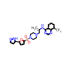 C[C@@H](CN1CCN(S(=O)(=O)c2ccc(-c3ccn[nH]3)o2)CC1)Nc1ncnc2c(C(F)(F)F)cccc12